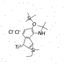 CC[Si]1(C)C2=C1[CH]([Ti+2])c1ccc(O[Si](C)(C)C)c(NC(C)(C)C)c12.[Cl-].[Cl-]